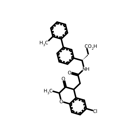 Cc1ccccc1-c1cccc([C@H](CC(=O)O)NC(=O)CC2C(=O)C(C)Oc3ccc(Cl)cc32)c1